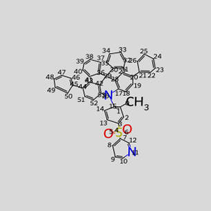 Cc1cc(S(=O)(=O)c2cccnc2)ccc1N1c2ccc(-c3ccccc3)cc2C(c2ccccc2)(c2ccccc2)c2cc(-c3ccccc3)ccc21